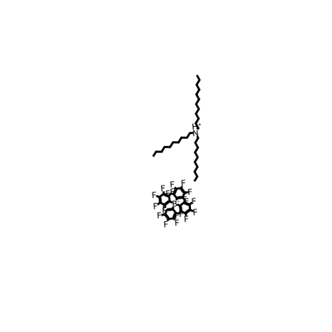 CCCCCCCCCCCC[NH+](CCCCCCCCCC)CCCCCCCCCC.Fc1c(F)c(F)c([B-](c2c(F)c(F)c(F)c(F)c2F)(c2c(F)c(F)c(F)c(F)c2F)c2c(F)c(F)c(F)c(F)c2F)c(F)c1F